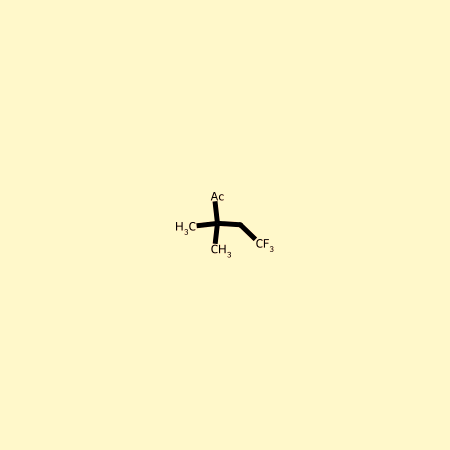 CC(=O)C(C)(C)CC(F)(F)F